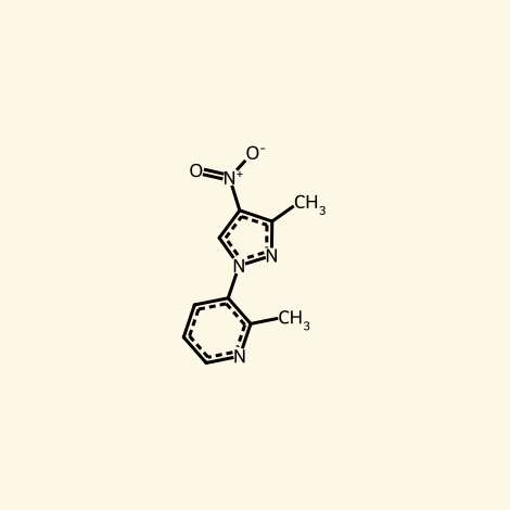 Cc1ncccc1-n1cc([N+](=O)[O-])c(C)n1